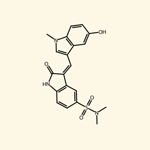 CN(C)S(=O)(=O)c1ccc2c(c1)C(=Cc1cn(C)c3ccc(O)cc13)C(=O)N2